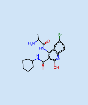 CC(N)C(=O)Nc1c(C(=O)NC2CCCCC2)c(O)nc2ccc(Br)cc12